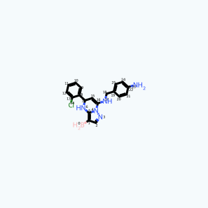 Bc1cnn2c1NC(c1ccccc1Cl)C=C2NCc1ccc(N)cc1